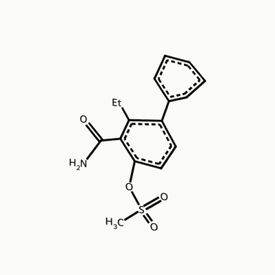 CCc1c(-c2ccccc2)ccc(OS(C)(=O)=O)c1C(N)=O